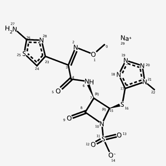 CON=C(C(=O)N[C@@H]1C(=O)N(S(=O)(=O)[O-])[C@@H]1Sc1nnnn1C)c1csc(N)n1.[Na+]